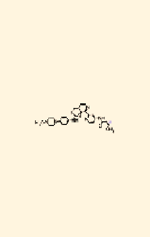 C/C=C\C(=O)Nc1ccnc(-c2nccc3cnc(Nc4ccc(N5CCN(C)CC5)cc4)nc23)c1